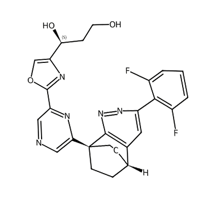 OCC[C@H](O)c1coc(-c2cncc([C@]34CC[C@H](CC3)c3cc(-c5c(F)cccc5F)nnc34)n2)n1